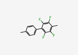 Cc1ccc(-c2c(F)c(F)c(C)c(F)c2F)cc1